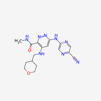 CNC(=O)c1nnc(Nc2cnc(C#N)cn2)cc1NCC1CCOCC1